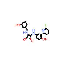 O=c1c(NCc2cccc(O)c2)c(Nc2ccc(O)c(-c3cccc(F)n3)c2)c1=O